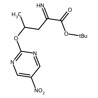 CC(CC(=N)C(=O)OC(C)(C)C)Oc1ncc([N+](=O)[O-])cn1